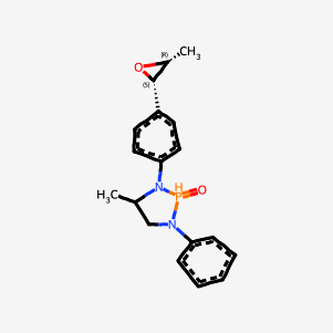 CC1CN(c2ccccc2)[PH](=O)N1c1ccc([C@@H]2O[C@@H]2C)cc1